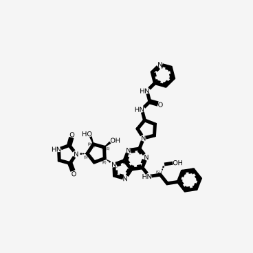 O=C(Nc1cccnc1)NC1CCN(c2nc(N[C@H](CO)Cc3ccccc3)c3ncn([C@@H]4C[C@H](N5C(=O)CNC5=O)[C@@H](O)[C@H]4O)c3n2)C1